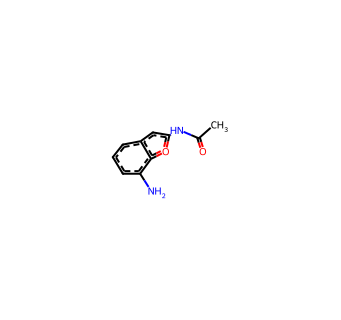 CC(=O)Nc1cc2cccc(N)c2o1